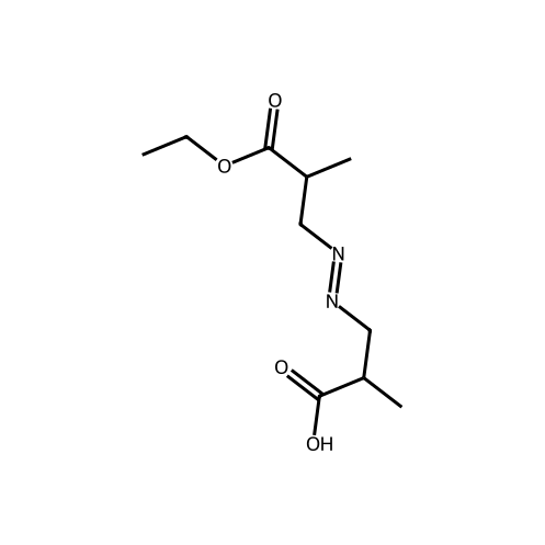 CCOC(=O)C(C)CN=NCC(C)C(=O)O